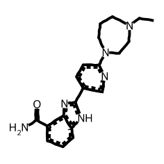 CCN1CCCN(c2ccc(-c3nc4c(C(N)=O)cccc4[nH]3)cn2)CC1